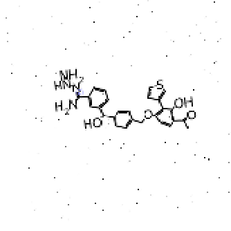 CC(=O)c1ccc(OCc2ccc(C(O)c3cccc(/C(N)=N/NN)c3)cc2)c(-c2ccsc2)c1O